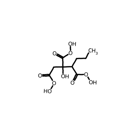 CCCC(C(=O)OO)C(O)(CC(=O)OO)C(=O)OO